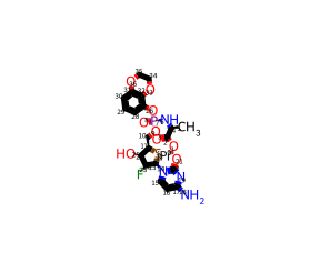 CC(C)OC(=O)[C@H](C)N[P@](=O)(OC[C@H]1S[C@@H](n2ccc(N)nc2=O)[C@@H](F)[C@@H]1O)Oc1cccc2c1OCCO2